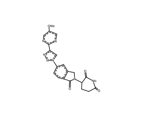 COc1cnc(-c2cn(-c3ccc4c(c3)CN(C3CCC(=O)NC3=O)C4=O)nn2)nc1